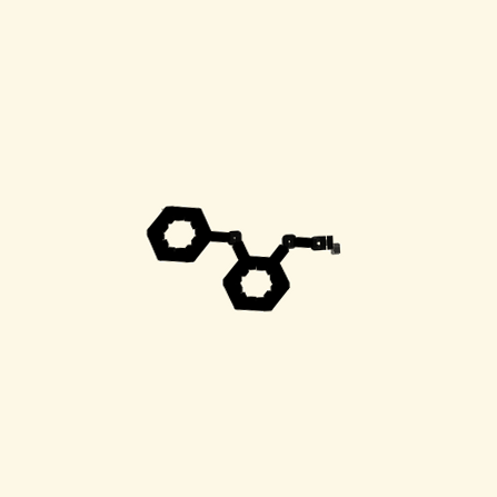 COc1ccccc1Oc1c[c]ccc1